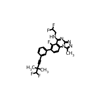 Cc1nnc2nc(NCC(F)F)c3c(F)c(-c4cccc(C#CC(C)(C)C(F)F)c4)ccc3n12